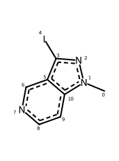 Cn1nc(I)c2cnccc21